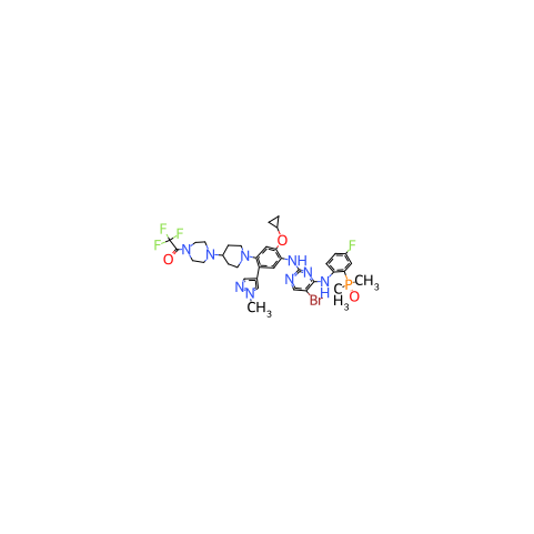 Cn1cc(-c2cc(Nc3ncc(Br)c(Nc4ccc(F)cc4P(C)(C)=O)n3)c(OC3CC3)cc2N2CCC(N3CCN(C(=O)C(F)(F)F)CC3)CC2)cn1